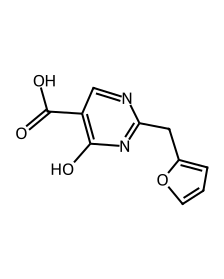 O=C(O)c1cnc(Cc2ccco2)nc1O